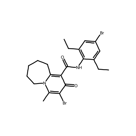 CCc1cc(Br)cc(CC)c1NC(=O)c1c2n(c(C)c(Br)c1=O)CCCCC2